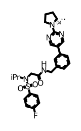 CC(C)N(CC(=O)NCc1cccc(-c2cnc(N3CCC[C@@H]3C)nc2)c1)S(=O)(=O)c1ccc(F)cc1